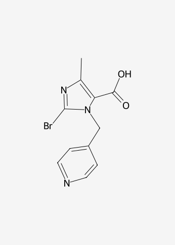 Cc1nc(Br)n(Cc2ccncc2)c1C(=O)O